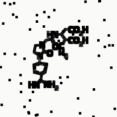 CC(C(=O)O)C(CC(=O)O)NC(=O)CN1CCN(c2ccc(C(=N)N)cc2)C1=O